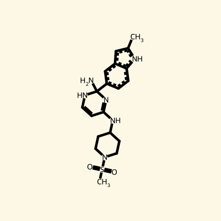 Cc1cc2cc(C3(N)N=C(NC4CCN(S(C)(=O)=O)CC4)C=CN3)ccc2[nH]1